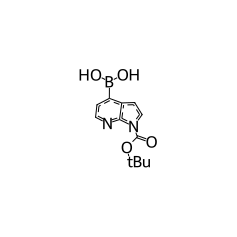 CC(C)(C)OC(=O)n1ccc2c(B(O)O)ccnc21